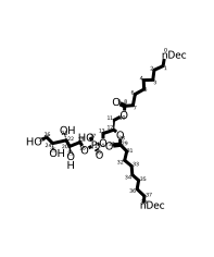 CCCCCCCCCCCCCCCCCC(=O)OC[C@H](COP(=O)(O)OC[C@@H](O)[C@@H](O)[C@H](O)CO)OC(=O)CCCCCCCCCCCCCCCCC